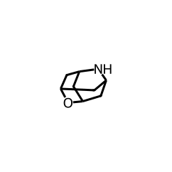 C1C2CC3CC(CC1O3)N2